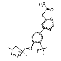 CC(C)C[C@](C)(N)COc1ccc(-c2ccnc(OC(N)=O)c2)cc1C(F)(F)F